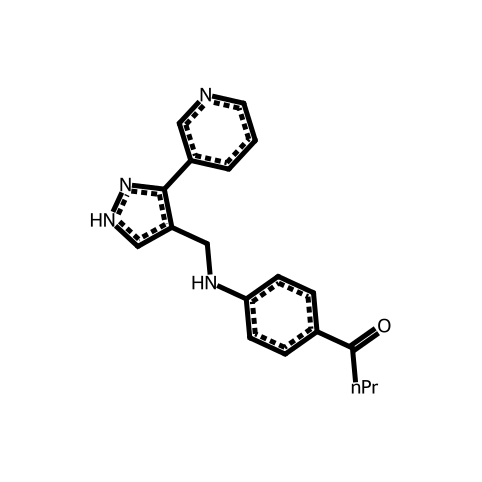 CCCC(=O)c1ccc(NCc2c[nH]nc2-c2cccnc2)cc1